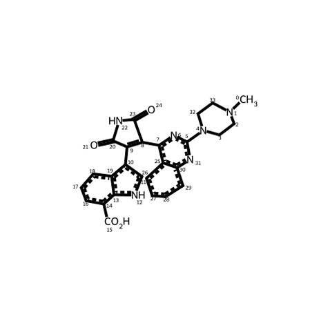 CN1CCN(c2nc(C3=C(c4c[nH]c5c(C(=O)O)cccc45)C(=O)NC3=O)c3ccccc3n2)CC1